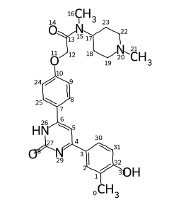 Cc1cc(-c2cc(-c3ccc(OCC(=O)N(C)C4CCN(C)CC4)cc3)[nH]c(=O)n2)ccc1O